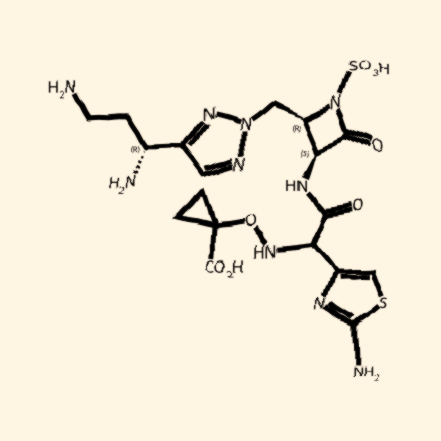 NCC[C@@H](N)c1cnn(C[C@@H]2[C@H](NC(=O)C(NOC3(C(=O)O)CC3)c3csc(N)n3)C(=O)N2S(=O)(=O)O)n1